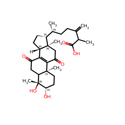 C=C(CC[C@@H](C)[C@H]1CC[C@H]2C3=C(C(=O)C[C@]12C)[C@@]1(C)CC[C@H](O)[C@](C)(O)C1CC3=O)C(C)C(=O)O